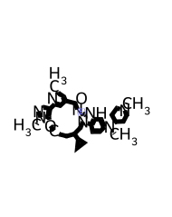 Cc1cc2cc(n1)-c1cnn(C)c1OCCCC(C1CC1)CN1/C(=N/C2=O)Nc2cc(N(C)C3CCN(C)CC3)ccc21